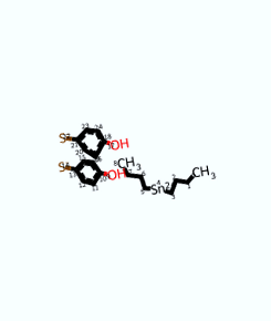 CCC[CH2][Sn+2][CH2]CCC.Oc1ccc([S-])cc1.Oc1ccc([S-])cc1